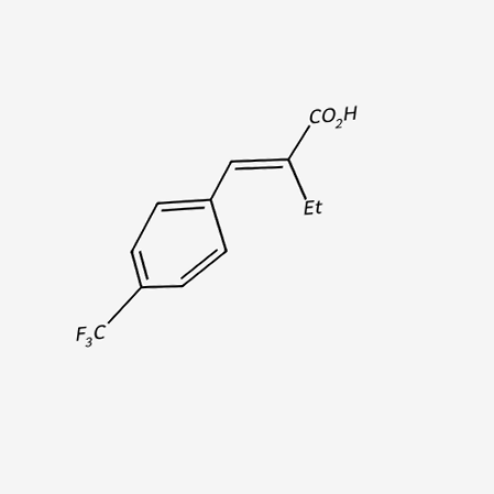 CC/C(=C\c1ccc(C(F)(F)F)cc1)C(=O)O